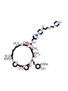 CO[C@H]1CC2CCCC(O2)C(=O)C(=O)N2CCCC[C@H]2C(=O)O[C@H](CC[C@@H]2CC[C@@H](O)[C@H](OC)C2)CC(=O)[C@H](C)/C=C(\C)[C@@H](OC(=O)NCc2cnc(N3CCN(C(=O)CCOCCN4CCNCC4)CC3)nc2)CC(=O)[C@H](C)C[C@H](C)/C=C/C=C/C=C/1C